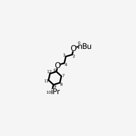 CCCCOCCCOC1CCC(C(C)C)CC1